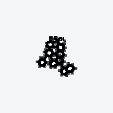 CC1(C)c2ccccc2-c2c(N(c3ccc(-c4cccc5ccccc45)cc3)c3cccc(-c4ccccc4)c3-c3ccccc3-c3ccccc3)cccc21